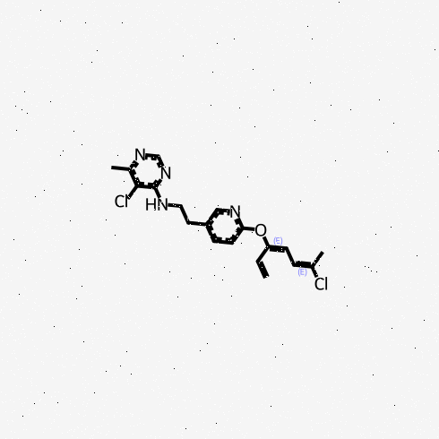 C=C/C(=C\C=C(/C)Cl)Oc1ccc(CCNc2ncnc(C)c2Cl)cn1